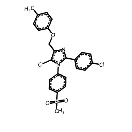 Cc1ccc(OCc2nc(-c3ccc(Cl)cc3)n(-c3ccc(S(C)(=O)=O)cc3)c2Cl)cc1